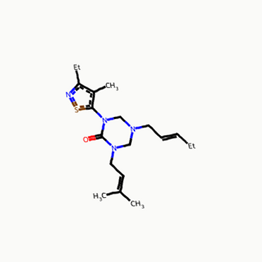 CCC=CCN1CN(CC=C(C)C)C(=O)N(c2snc(CC)c2C)C1